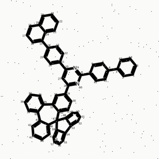 c1ccc(-c2ccc(-c3nc(-c4ccc(-c5cccc6ccccc56)cc4)cc(-c4ccc5c(c4)-c4ccccc4-c4ccccc4C54c5ccccc5-c5ccccc54)n3)cc2)cc1